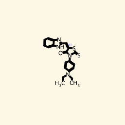 CCN(CC)c1ccc(N2C(=O)/C(=C\c3nc4ccccc4[nH]3)SC2=S)cc1